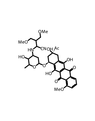 COCC(COC)C(C#N)NC1CC(O[C@H]2C[C@](O)(C(C)=O)Cc3c(O)c4c(c(O)c32)C(=O)c2c(OC)cccc2C4=O)OC(C)C1O